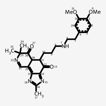 COc1ccc(CCNCCCC2C(=O)C3=NC(C)=NC3=C3C=NC(C)(C)C(=O)C32)cc1OC